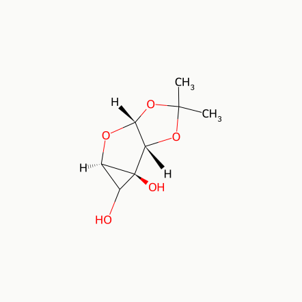 CC1(C)O[C@H]2O[C@@H]3C(O)[C@@]3(O)[C@H]2O1